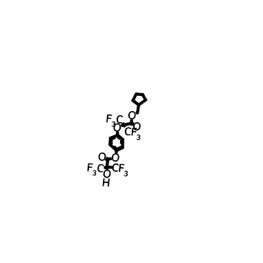 O=C(Oc1ccc(OC(C(=O)OCC2CCCC2)(C(F)(F)F)C(F)(F)F)cc1)C(O)(C(F)(F)F)C(F)(F)F